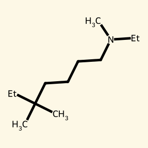 CCN(C)CCCCC(C)(C)CC